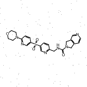 O=C(NCc1ccc(S(=O)(=O)c2ccc(N3CCOCC3)nc2)cn1)N1Cc2ccncc2C1